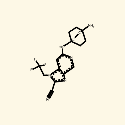 N#Cc1nc2cnc(NC34CCC(N)(CC3)CC4)cc2n1CC(F)(F)F